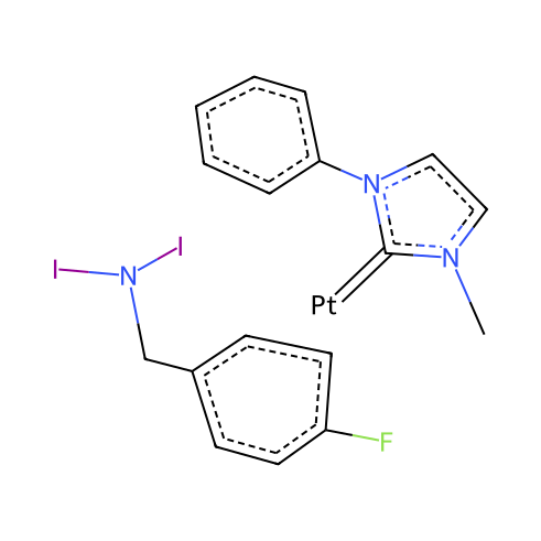 Cn1ccn(-c2ccccc2)[c]1=[Pt].Fc1ccc(CN(I)I)cc1